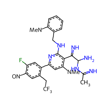 CNc1ccccc1CNc1nc(-c2cc(F)c(N=O)cc2CC(F)(F)F)cc(NC)c1C(=N)C(N)NC(C)=N